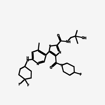 Cc1cc(NC2CCC(F)(F)CC2)ncc1-c1sc(C(=O)NCC(C)(C)O)nc1C(=O)N1CCC(F)CC1